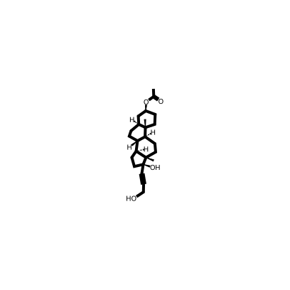 CC(=O)O[C@H]1CC[C@@]2(C)[C@@H](CC[C@@H]3[C@@H]2CC[C@@]2(C)[C@H]3CC[C@@]2(O)C#CCO)C1